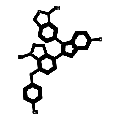 N#Cc1ccc(Oc2ccc(-c3cc4cc(Cl)ccc4n3-c3ccc4c(c3)B(O)OC4)c3c2B(O)OC3)cc1